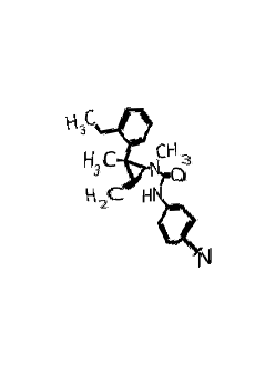 C=C1[C@H](N(C)C(=O)Nc2ccc(C#N)cc2)[C@@]1(C)c1ccccc1CC